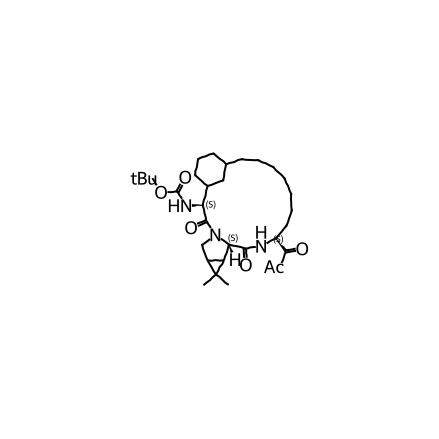 CC(=O)C(=O)[C@@H]1CCCCCCCC2CCCC(C2)[C@H](NC(=O)OC(C)(C)C)C(=O)N2CC3C([C@H]2C(=O)N1)C3(C)C